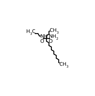 CCCCCCCCCCCCC(CCCC)(C(N)=O)C(=O)NCCCC